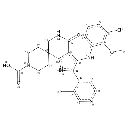 COc1c(Cl)cccc1Nc1c(-c2ccncc2F)[nH]c2c1C(=O)NCC21CCN(C(=O)O)CC1